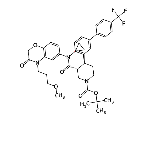 COCCCN1C(=O)COc2ccc(N(C(=O)[C@H]3CN(C(=O)OC(C)(C)C)CC[C@@H]3c3cccc(-c4ccc(C(F)(F)F)cc4)c3)C3CC3)cc21